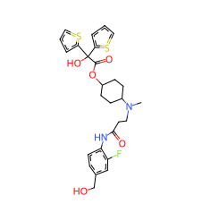 CN(CCC(=O)Nc1ccc(CO)cc1F)C1CCC(OC(=O)C(O)(c2cccs2)c2cccs2)CC1